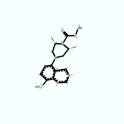 C[C@@H]1CN(c2ccc(C(=O)O)c3ncncc23)C[C@H](C)N1C(=O)OC(C)(C)C